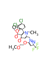 CCOC(=O)c1c(-c2ccc(Cl)c(Cl)c2)n(CC)c(Cn2nc(C(F)(F)F)cc2OCCOC)cc1=O